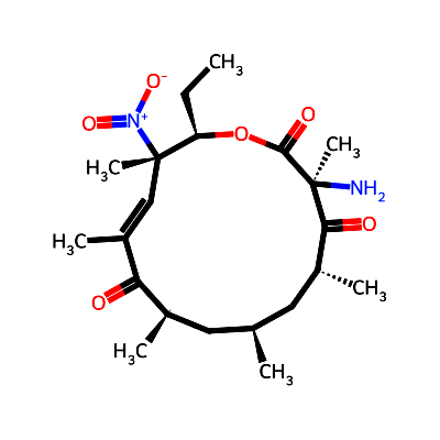 CC[C@H]1OC(=O)[C@@](C)(N)C(=O)[C@H](C)C[C@@H](C)C[C@@H](C)C(=O)/C(C)=C/[C@]1(C)[N+](=O)[O-]